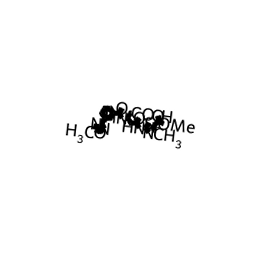 COC(=O)c1sc(NC(=O)CC(CC(=O)O)NC(=O)c2cccc(-c3noc(C)n3)c2)nc1C